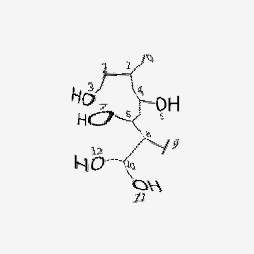 CC(CO)C(O)C(O)C(I)C(O)O